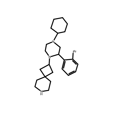 CC(C)c1ccccc1C1CN(C2CCCCC2)CCN1C1CC2(CCNCC2)C1